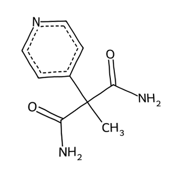 CC(C(N)=O)(C(N)=O)c1ccncc1